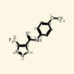 FC(F)(F)Oc1ccc(NC(=S)c2snnc2C(F)(F)F)cc1